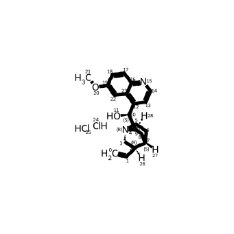 C=C[C@H]1C[N@]2CC[C@H]1C[C@@H]2[C@@H](O)c1ccnc2ccc(OC)cc12.Cl.Cl